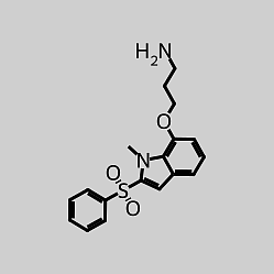 Cn1c(S(=O)(=O)c2ccccc2)cc2cccc(OCCCN)c21